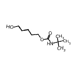 CC(C)(C)NC(=O)OCCCCCO